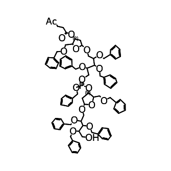 CC(=O)CCC(=O)O[C@@H]1CC(OCC(OCc2ccccc2)C(OCc2ccccc2)C(COP(OCc2ccccc2)O[C@@H]2CC(OCC(OCc3ccccc3)C(OCc3ccccc3)C(CO)OCc3ccccc3)OC2COCc2ccccc2)OCc2ccccc2)OC1COCc1ccccc1